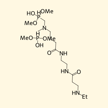 CCNCCC(=O)NCCNC(=O)CCCN(C[PH](O)(OC)OC)C[PH](O)(OC)OC